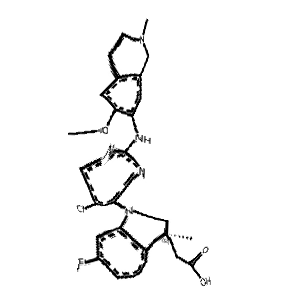 COc1cc2c(cc1Nc1ncc(Cl)c(N3C[C@@](C)(CC(=O)O)c4ccc(F)cc43)n1)CN(C)CC2